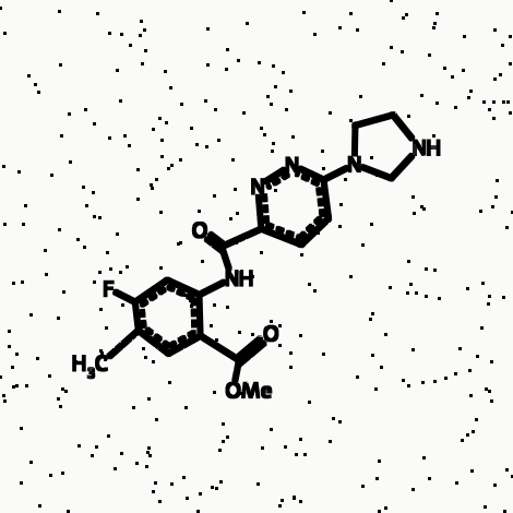 COC(=O)c1cc(C)c(F)cc1NC(=O)c1ccc(N2CCNC2)nn1